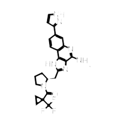 Nc1nc2cc(-c3cc[nH]n3)ccc2c2[nH]c(C[C@@H]3CCCN3C(=O)C3(C(F)(F)F)CC3)nc12